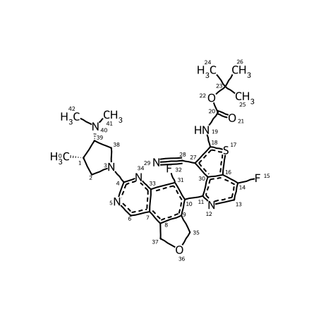 C[C@H]1CN(c2ncc3c4c(c(-c5ncc(F)c6sc(NC(=O)OC(C)(C)C)c(C#N)c56)c(F)c3n2)COC4)C[C@H]1N(C)C